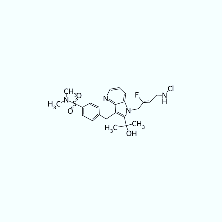 CN(C)S(=O)(=O)c1ccc(Cc2c(C(C)(C)O)n(C/C(F)=C/CNCl)c3cccnc23)cc1